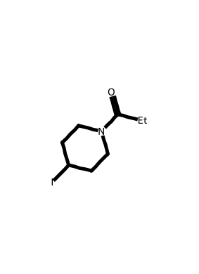 CCC(=O)N1CCC(I)CC1